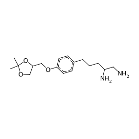 CC1(C)OCC(COc2ccc(CCCC(N)CN)cc2)O1